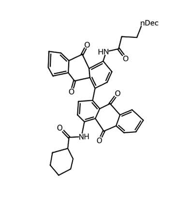 CCCCCCCCCCCCC(=O)Nc1ccc(-c2ccc(NC(=O)C3CCCCC3)c3c2C(=O)c2ccccc2C3=O)c2c1C(=O)c1ccccc1C2=O